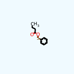 CCCC(=O)OSc1ccccc1